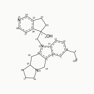 OC1(Cn2c3c(c4cc(CF)ccc42)CN2CCCC2C3)CCc2cnccc21